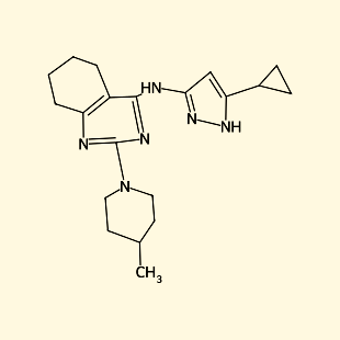 CC1CCN(c2nc3c(c(Nc4cc(C5CC5)[nH]n4)n2)CCCC3)CC1